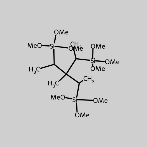 CO[Si](OC)(OC)C(C)C(C)(C(C)[Si](OC)(OC)OC)C(C)[Si](OC)(OC)OC